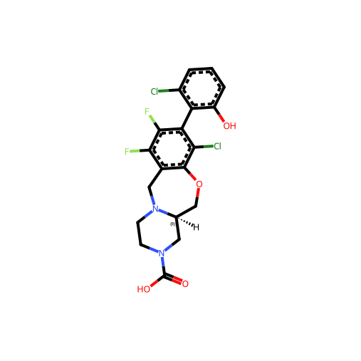 O=C(O)N1CCN2Cc3c(F)c(F)c(-c4c(O)cccc4Cl)c(Cl)c3OC[C@H]2C1